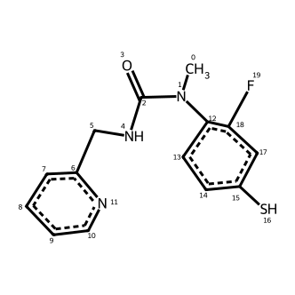 CN(C(=O)NCc1ccccn1)c1ccc(S)cc1F